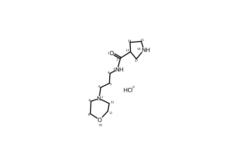 Cl.O=C(NCCCN1CCOCC1)C1CCNC1